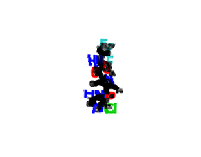 Cc1c(C(=O)Nc2ccnc(Cl)c2)c(C)n(C)c1C(=O)C(=O)NC(CF)C(F)F